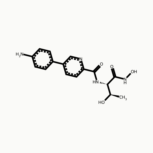 C[C@@H](O)[C@H](NC(=O)c1ccc(-c2ccc(N)cc2)cn1)C(=O)NO